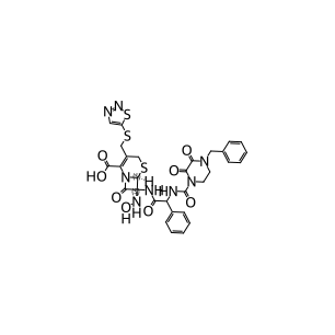 O=C(O)C1=C(CSc2cnns2)CS[C@@H]2N1C(=O)[C@@]2(NO)NC(=O)C(NC(=O)N1CCN(Cc2ccccc2)C(=O)C1=O)c1ccccc1